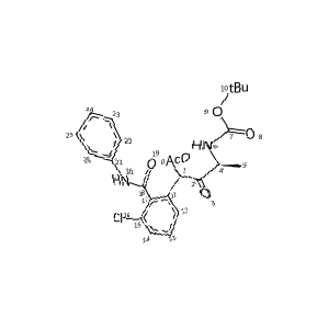 CC(=O)OC(C(=O)[C@H](C)NC(=O)OC(C)(C)C)c1cccc(Cl)c1C(=O)Nc1ccccc1